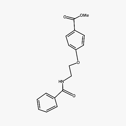 COC(=O)c1ccc(OCCNC(=O)c2ccccc2)cc1